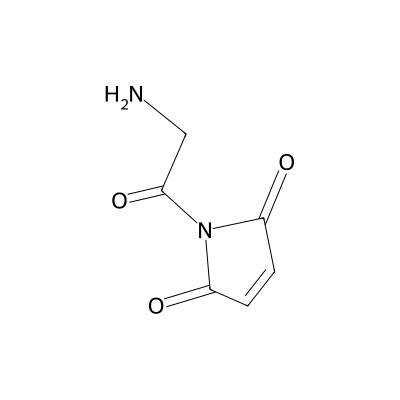 NCC(=O)N1C(=O)C=CC1=O